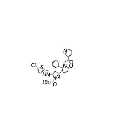 CC(C)(C)C(=O)n1nc(-c2ccc(=O)n(CC(=O)c3cccnc3)c2-c2ccccc2)cc1NCc1ccc(Cl)s1